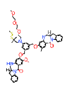 COCCOCCOCCN(CC(C)(C)SSC)c1cc(COc2cc3c(cc2C)C(=O)N2c4ccccc4C[C@H]2C=N3)cc(COc2cc3c(cc2OC)C(=O)N2c4ccccc4C[C@H]2CN3)c1